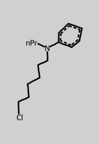 CCCN(CCCCCCCl)c1ccccc1